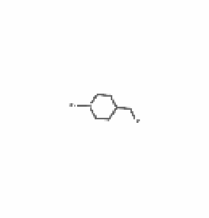 CC(C)(C)N1CCC(CBr)CC1